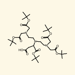 CC(C)(C)OC(=O)CN(CCN(CCN(CC(=O)OC(C)(C)C)CC(=O)OC(C)(C)C)C(CC(=O)O)C(=O)OC(C)(C)C)CC(=O)OC(C)(C)C